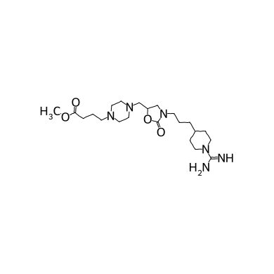 COC(=O)CCCN1CCN(CC2CN(CCCC3CCN(C(=N)N)CC3)C(=O)O2)CC1